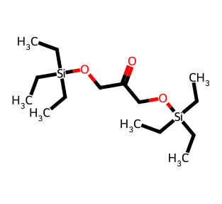 CC[Si](CC)(CC)OCC(=O)CO[Si](CC)(CC)CC